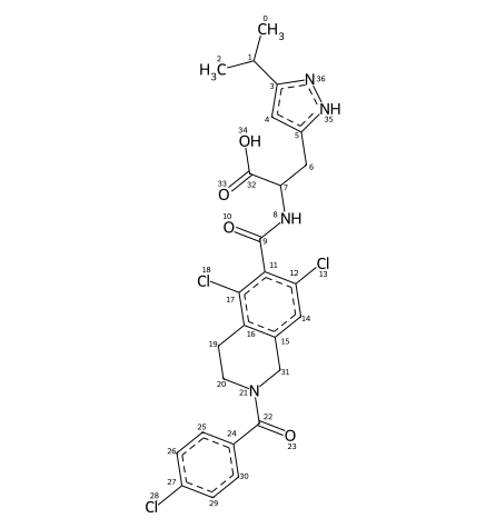 CC(C)c1cc(CC(NC(=O)c2c(Cl)cc3c(c2Cl)CCN(C(=O)c2ccc(Cl)cc2)C3)C(=O)O)[nH]n1